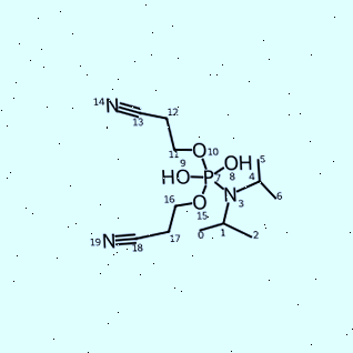 CC(C)N(C(C)C)P(O)(O)(OCCC#N)OCCC#N